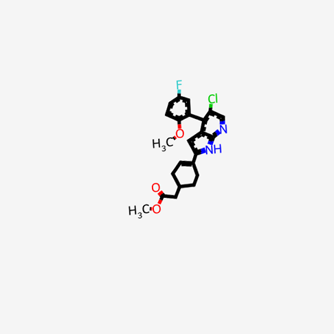 COC(=O)CC1CC=C(c2cc3c(-c4cc(F)ccc4OC)c(Cl)cnc3[nH]2)CC1